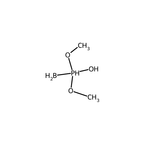 B[PH](O)(OC)OC